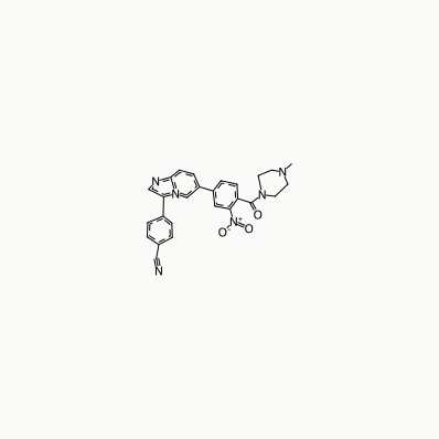 CN1CCN(C(=O)c2ccc(-c3ccc4ncc(-c5ccc(C#N)cc5)n4c3)cc2[N+](=O)[O-])CC1